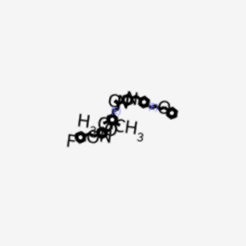 Cc1cc(/C=C/C(=O)N2CCN(Cc3ccc(/C=C/COc4ccccc4)cc3)CC2)cc(C)c1Oc1ccc(OCc2ccc(F)cc2)cn1